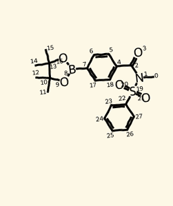 CN(C(=O)c1ccc(B2OC(C)(C)C(C)(C)O2)cc1)S(=O)(=O)c1ccccc1